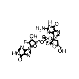 Nc1nc2c(ncn2[C@]2(OP(=O)(O)OC[C@H]3O[C@@H](n4cnc5c(=O)[nH]cnc54)[C@@H](F)[C@@H]3O)CO[C@H](CO)C2)c(=O)[nH]1